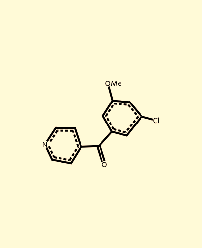 COc1cc(Cl)cc(C(=O)c2ccncc2)c1